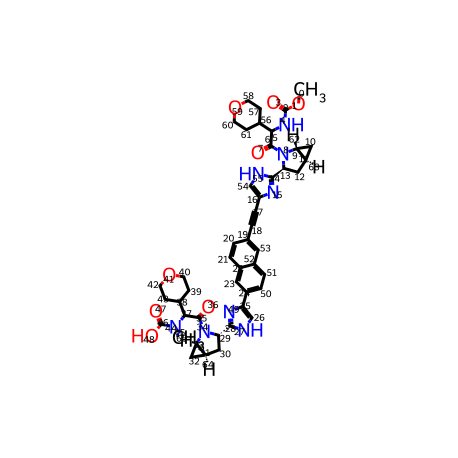 COC(=O)NC(C(=O)N1[C@@H]2C[C@H]2C[C@H]1c1nc(C#Cc2ccc3cc(-c4c[nH]c([C@@H]5C[C@H]6C[C@H]6N5C(=O)C(C5CCOCC5)N(C)C(=O)O)n4)ccc3c2)c[nH]1)C1CCOCC1